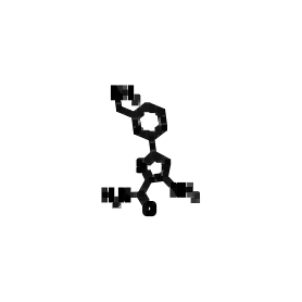 NCc1cccc(-c2cc(N)c(C(N)=O)s2)c1